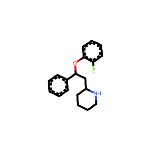 Fc1ccccc1OC(CC1CCCCN1)c1ccccc1